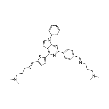 CN(C)CCC/N=C/c1ccc(-c2nc(-c3ccc(/C=N/CCCN(C)C)s3)c3ccn(-c4ccccc4)c3n2)cc1